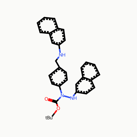 CC(C)(C)OC(=O)N(Nc1ccc2ccccc2c1)c1ccc(CNc2ccc3ccccc3c2)cc1